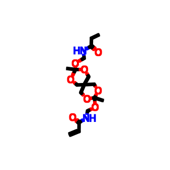 C=CC(=O)NCOC1(C)OCC2(CO1)COC(C)(OCNC(=O)CC)OC2